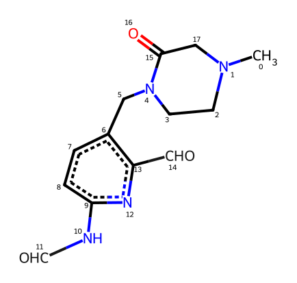 CN1CCN(Cc2ccc(NC=O)nc2C=O)C(=O)C1